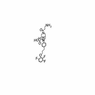 NCCC(=O)N1CC2CC(c3ccc(CCCOc4c(F)ccc(F)c4F)cc3)=C(C(=O)O)[C@@H](C1)N2